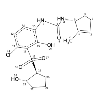 CC1=CCC[C@H]1NC(=O)Nc1ccc(Cl)c(S(=O)(=O)[C@H]2CCC[C@@H]2O)c1O